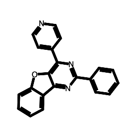 c1ccc(-c2nc(-c3ccncc3)c3oc4ccccc4c3n2)cc1